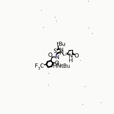 CC(C)(C)NOc1ccc(C(F)(F)F)cc1C(=O)/N=c1\sc(C(C)(C)C)nn1C[C@@H]1CCC(=O)N1